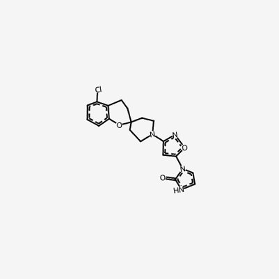 O=c1[nH]ccn1-c1cc(N2CCC3(CCc4c(Cl)cccc4O3)CC2)no1